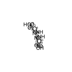 O=S(=O)(O)c1ccc2[nH]c(-c3nc4cc(S(=O)(=O)O)ccc4[nH]3)nc2c1